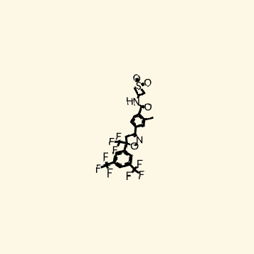 Cc1cc(C2=NOC(c3cc(C(F)(F)F)cc(C(F)(F)F)c3)(C(F)(F)F)C2)ccc1C(=O)NC1CS(=O)(=O)C1